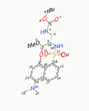 COC(=O)[C@H](CNC(=O)OC(C)(C)C)NS(=O)(=O)c1cccc2c(N(C)C)cccc12